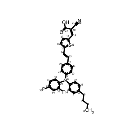 CCCCc1ccc(N(c2ccc(/C=C/c3ccc(/C=C(/C#N)C(=O)O)s3)cc2)c2ccc(F)cc2F)cc1